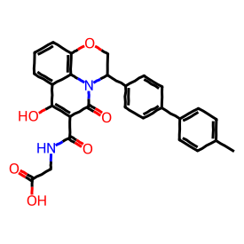 Cc1ccc(-c2ccc(C3COc4cccc5c(O)c(C(=O)NCC(=O)O)c(=O)n3c45)cc2)cc1